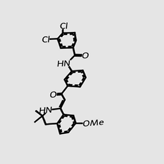 COc1ccc2c(c1)C(=CC(=O)c1cccc(NC(=O)c3ccc(Cl)c(Cl)c3)c1)NC(C)(C)C2